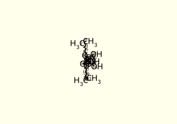 CC(C)CCCCCOC(=O)CC(C(=O)OCCCCCC(C)C)S(=O)(=O)O.OCCNCCO